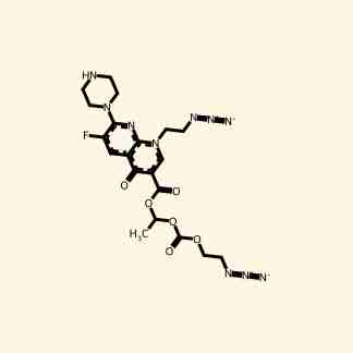 CC(OC(=O)OCCN=[N+]=[N-])OC(=O)c1cn(CCN=[N+]=[N-])c2nc(N3CCNCC3)c(F)cc2c1=O